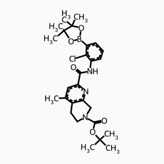 Cc1cc(C(=O)Nc2cccc(B3OC(C)(C)C(C)(C)O3)c2Cl)nc2c1CCN(C(=O)OC(C)(C)C)C2